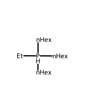 CCCCCC[PH](CC)(CCCCCC)CCCCCC